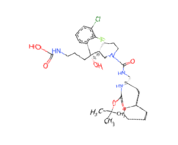 CC(C)(C)OC(=O)N[C@H](CNC(=O)N1CCC[C@@H]([C@@](O)(CCCNC(=O)O)c2cccc(Cl)c2F)C1)CC1CCCCC1